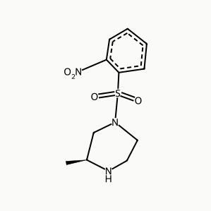 C[C@H]1CN(S(=O)(=O)c2ccccc2[N+](=O)[O-])CCN1